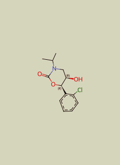 CC(C)N1C[C@@H](O)[C@@H](c2ccccc2Cl)OC1=O